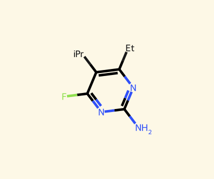 CCc1nc(N)nc(F)c1C(C)C